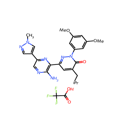 COc1cc(OC)cc(-n2nc(-c3nc(-c4cnn(C)c4)cnc3N)cc(CC(C)C)c2=O)c1.O=C(O)C(F)(F)F